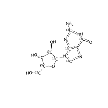 N[13c]1n[13c]2[13c](n[13cH]n2[13C@@H]2O[13C@H]([13CH2]O)[13C@@H](O)[13C@H]2O)[13c](=O)[nH]1